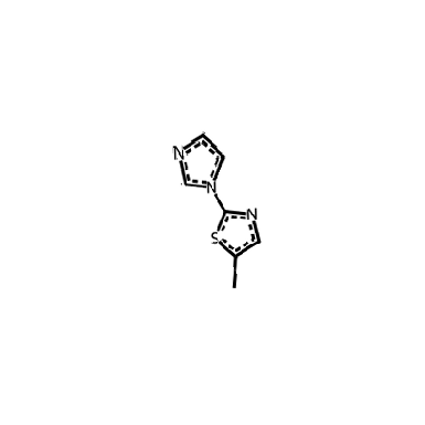 Cc1cnc(-n2[c]ncc2)s1